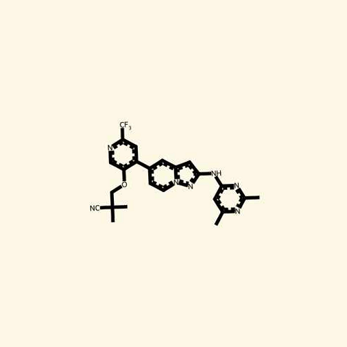 Cc1cc(Nc2cc3cc(-c4cc(C(F)(F)F)ncc4OCC(C)(C)C#N)ccn3n2)nc(C)n1